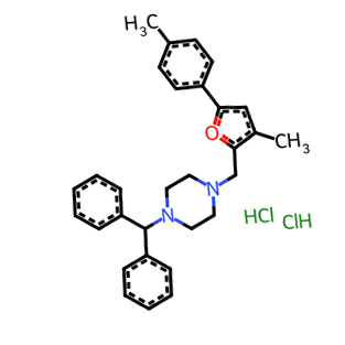 Cc1ccc(-c2cc(C)c(CN3CCN(C(c4ccccc4)c4ccccc4)CC3)o2)cc1.Cl.Cl